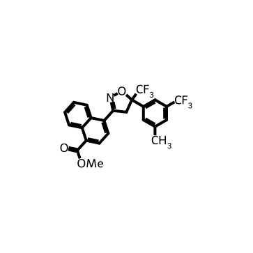 COC(=O)c1ccc(C2=NOC(c3cc(C)cc(C(F)(F)F)c3)(C(F)(F)F)C2)c2ccccc12